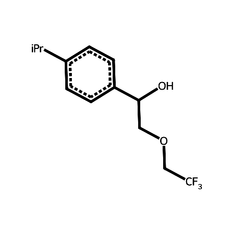 CC(C)c1ccc(C(O)COCC(F)(F)F)cc1